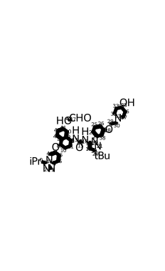 CC(C)c1nnc2ccc(O[C@@H]3CC[C@H](NC(=O)Nc4cc(C(C)(C)C)nn4-c4cccc(OCCN5CCC(O)CC5)c4)c4ccccc43)cn12.O=CO